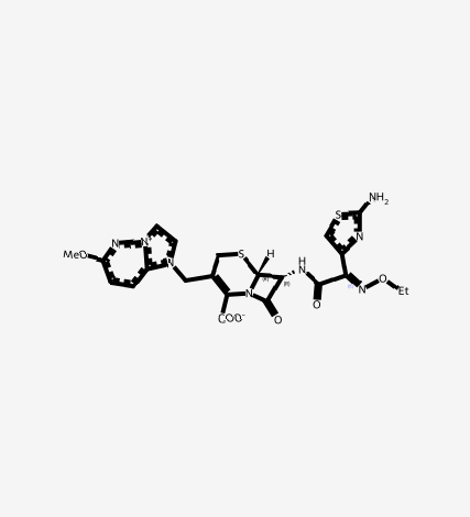 CCO/N=C(/C(=O)N[C@@H]1C(=O)N2C(C(=O)[O-])=C(Cn3cc[n+]4nc(OC)ccc34)CS[C@H]12)c1csc(N)n1